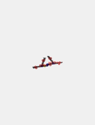 CCCCOC(=O)CCCCCCC(O)CN(CCCCC(=O)OCCN1CCN(CCSSCCCN(CC(O)CCCCCCC(=O)OCCC(C)C)CC(O)CCCCCCC(=O)OCCC(C)C)CC1)CC(O)CCCCCCC(=O)OCCCC